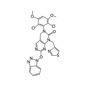 COc1cc(OC)c(Cl)c(N2Cc3cnc(On4nnc5ccccc54)nc3N(Cc3cscn3)C2=O)c1Cl